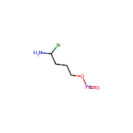 NC(Br)CCCOP=O